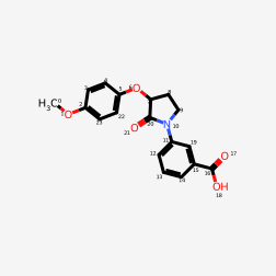 COc1ccc(OC2CCN(c3cccc(C(=O)O)c3)C2=O)cc1